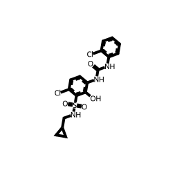 O=C(Nc1ccccc1Cl)Nc1ccc(Cl)c(S(=O)(=O)NCC2CC2)c1O